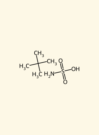 CC(C)(C)C.NS(=O)(=O)O